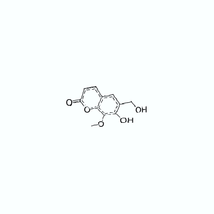 COc1c(O)c(CO)cc2ccc(=O)oc12